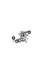 CC(C)[C@H](CCC(=O)N(C)[C@@H](COCc1ccccc1)C(=O)O)N1Cc2cc(Oc3ccccc3)ncc2N=C1N